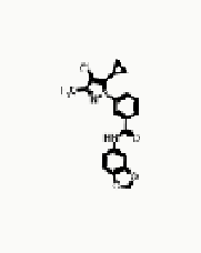 O=C(Nc1ccc2c(c1)OCO2)c1cccc(-n2nc(C(F)(F)F)c(Cl)c2C2CC2)c1